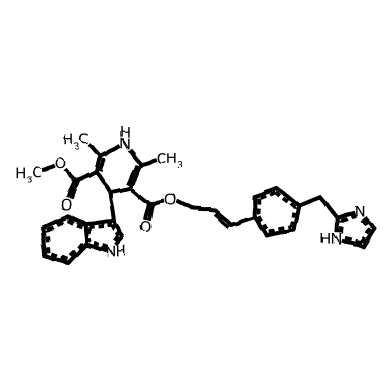 COC(=O)C1=C(C)NC(C)=C(C(=O)OCC=Cc2ccc(Cc3ncc[nH]3)cc2)C1c1c[nH]c2ccccc12